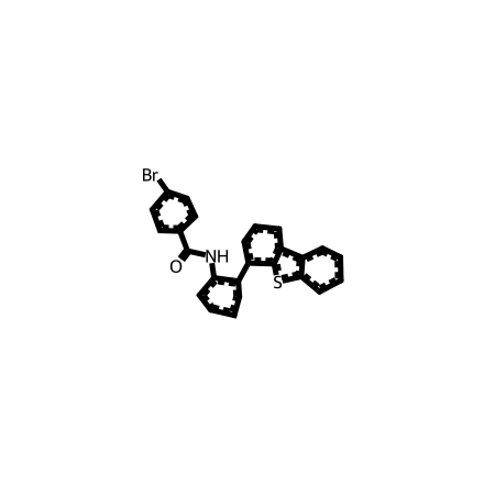 O=C(Nc1ccccc1-c1cccc2c1sc1ccccc12)c1ccc(Br)cc1